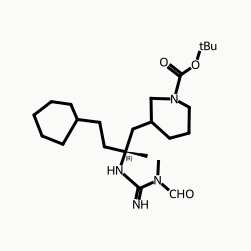 CN(C=O)C(=N)N[C@](C)(CCC1CCCCC1)CC1CCCN(C(=O)OC(C)(C)C)C1